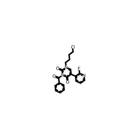 O=C(c1ccccc1)n1c(=O)c(-c2cccnc2F)cn(CCCCCl)c1=O